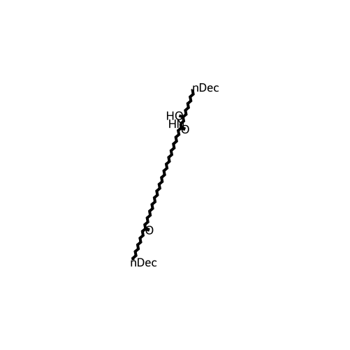 CCCCCCCCCCCCCCCCCCCC(=O)CCCCCCCCCCCCCCCCCCCCCCCCCCCCCC(=O)NCC(O)CCCCCCCCCCCCCCCCCC